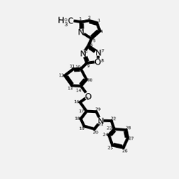 Cc1cccc(-c2noc(-c3cccc(OCC4CCCN(Cc5ccccc5)C4)c3)n2)n1